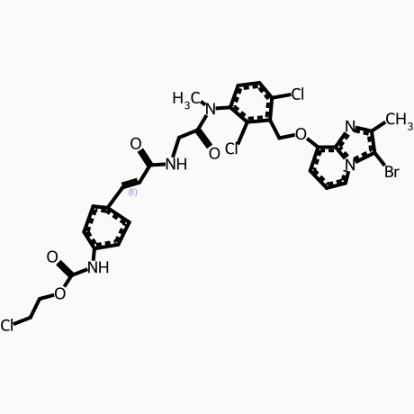 Cc1nc2c(OCc3c(Cl)ccc(N(C)C(=O)CNC(=O)/C=C/c4ccc(NC(=O)OCCCl)cc4)c3Cl)cccn2c1Br